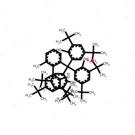 Cc1cccc(C(c2cc(C(C)(C)C)cc(C(C)(C)C)c2O)(c2cc(C(C)(C)C)cc(C(C)(C)C)c2O)c2cc(C(C)(C)C)cc(C(C)(C)C)c2O)c1-c1cc(C(C)(C)C)cc(C(C)(C)C)c1O